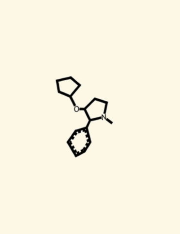 CN1CCC(OC2CCCC2)C1c1ccccc1